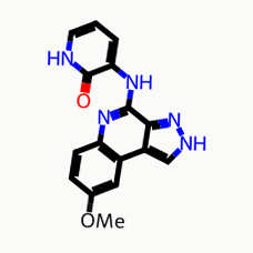 COc1ccc2nc(Nc3ccc[nH]c3=O)c3n[nH]cc3c2c1